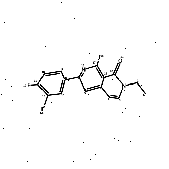 CCn1ccc2cc(-c3ccc(F)c(F)c3)nc(C)c2c1=O